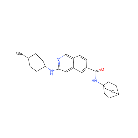 CC(C)(C)C1CCC(Nc2cc3cc(C(=O)NC45CCC(CC4)CC5)ccc3cn2)CC1